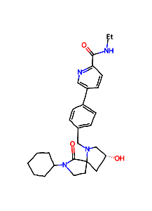 CCNC(=O)c1ccc(-c2ccc(CN3C[C@H](O)CC34CCN(C3CCCCC3)C4=O)cc2)cn1